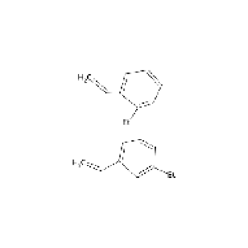 C=Cc1cccc(CC)c1.C=Cc1ccccc1CC